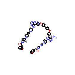 Nc1ncnc2c1c(-c1ccc(Oc3ccc(-c4ccc(Oc5ccc(-c6nn(C7CCN(C8CC9(CCN(C%10C[C@@H]%11CN(C(=O)CC%12%13CC%14CC(CC(C%14)C%12)C%13)C[C@@H]%11C%10)CC9)C8)CC7)c7ncnc(N)c67)cc5)cc4)cc3)cc1)nn2C1CCN(C2CN(C3CN(C(=O)CC45CC6CC(CC(C6)C4)C5)C3)C2)CC1